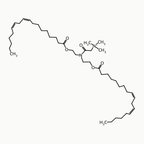 CCCCC/C=C\C/C=C\CCCCCCCC(=O)OCCN(CCOC(=O)CCCCCCC/C=C\C/C=C\CCCCC)C(=O)C[N+](C)(C)C